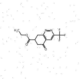 CCOC(=O)C1CC(=O)c2cc(C(F)(F)F)nnc2C1